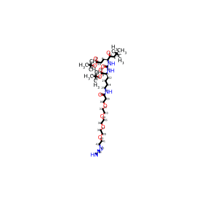 CC(C)(C)CC(=O)[C@H](CCC(=O)OC(C)(C)C)NC(=O)N[C@@H](CCCCNC(=O)CCOCCOCCOCCOCCN=[N+]=N)C(=O)OC(C)(C)C